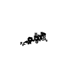 Cc1nc(C(=O)NCc2cccc3c2ncn3CC(F)(F)F)c(N)nc1-c1ncco1